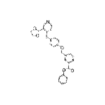 O=C(Oc1ccccc1)c1cccc(COc2ccc(Sc3ccncc3C3OCCO3)cc2)c1